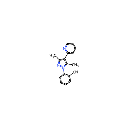 Cc1nn(-c2ccccc2C#N)c(C)c1-c1ccccn1